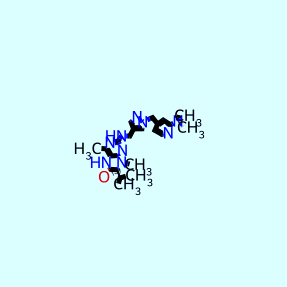 Cc1nc(NCc2cnn(Cc3ccnc(N(C)C)c3)c2)nc2c1NC(=O)[C@H](C(C)C)N2C